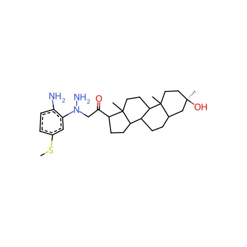 CSc1ccc(N)c(N(N)CC(=O)C2CCC3C4CCC5C[C@](C)(O)CCC5(C)C4CCC23C)c1